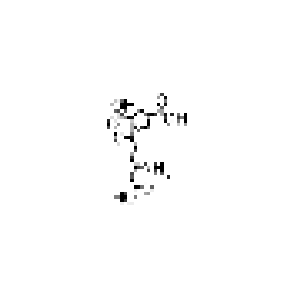 N[C@@H](CCC(=O)N1CC(C(=O)O)CC1C(=O)O)CC(=O)O